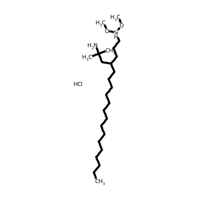 CCCCCCCCCCCCCCCC(CCC[SiH](OC)OC)CC(C)(C)N.Cl